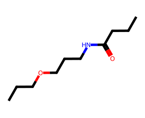 CCCOCCCNC(=O)CCC